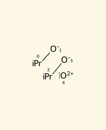 CC(C)[O-].CC(C)[O-].[O+2]